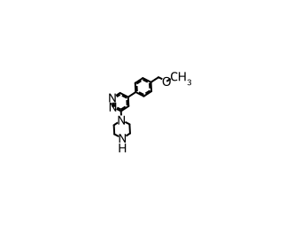 COCc1ccc(-c2cnnc(N3CCNCC3)c2)cc1